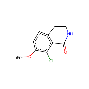 CC(C)Oc1ccc2c(c1Cl)C(=O)NCC2